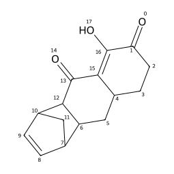 O=C1CCC2CC3C4C=CC(C4)C3C(=O)C2=C1O